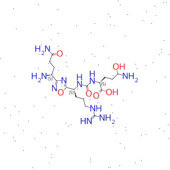 N=C(N)NCCC[C@H](NC(=O)N[C@@H](CCC(N)O)C(=O)O)c1nc([C@@H](N)CCC(N)=O)no1